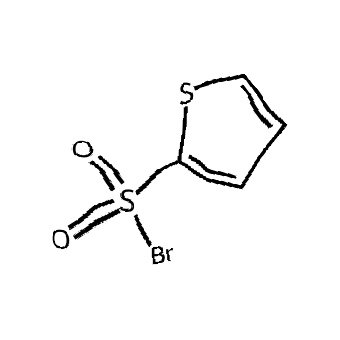 O=S(=O)(Br)c1cccs1